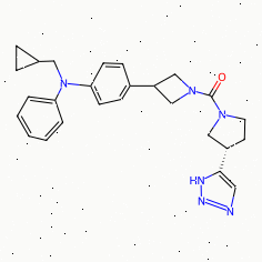 O=C(N1CC(c2ccc(N(CC3CC3)c3ccccc3)cc2)C1)N1CC[C@H](c2cnn[nH]2)C1